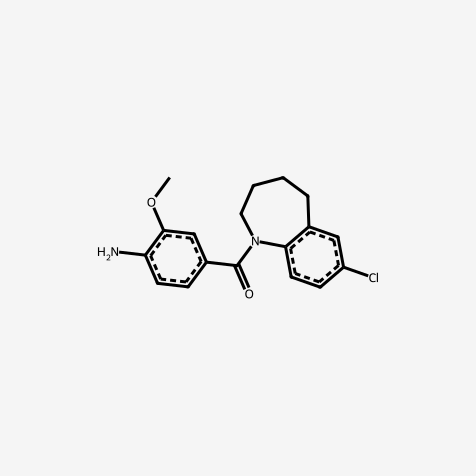 COc1cc(C(=O)N2CCCCc3cc(Cl)ccc32)ccc1N